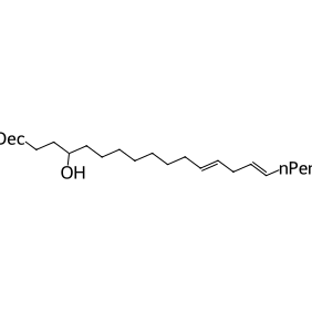 CCCCCC=CCC=CCCCCCCCC(O)CCCCCCCCCCCC